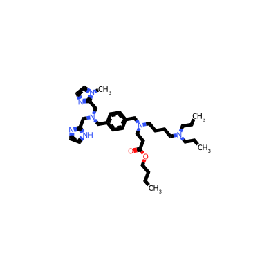 CCCCOC(=O)CCN(CCCCN(CCC)CCC)Cc1ccc(CN(Cc2ncc[nH]2)Cc2nccn2C)cc1